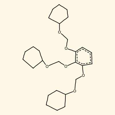 c1cc(OCOC2CCCCC2)c(OCOC2CCCCC2)c(OCOC2CCCCC2)c1